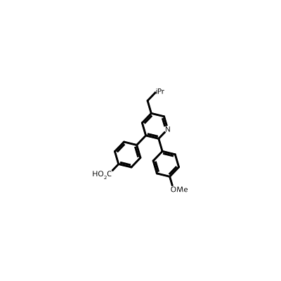 COc1ccc(-c2ncc(CC(C)C)cc2-c2ccc(C(=O)O)cc2)cc1